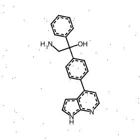 NCC(O)(c1ccccc1)c1ccc(-c2ccnc3[nH]ccc23)cc1